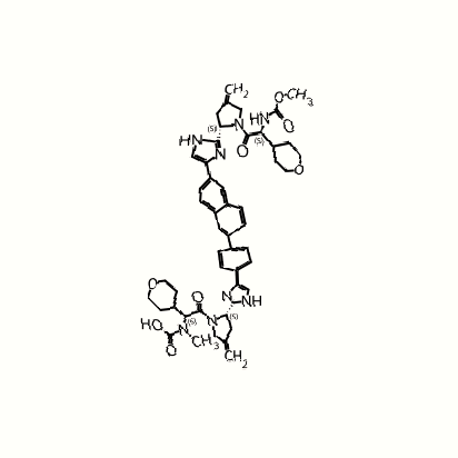 C=C1C[C@@H](c2nc(-c3ccc4cc(-c5ccc(-c6c[nH]c([C@@H]7CC(=C)CN7C(=O)[C@H](C7CCOCC7)N(C)C(=O)O)n6)cc5)ccc4c3)c[nH]2)N(C(=O)[C@@H](NC(=O)OC)C2CCOCC2)C1